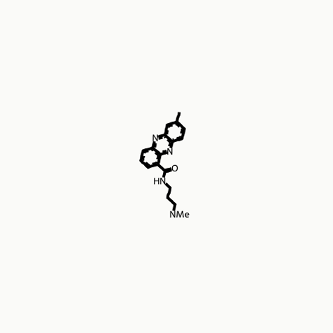 CNCCCNC(=O)c1cccc2nc3cc(C)ccc3nc12